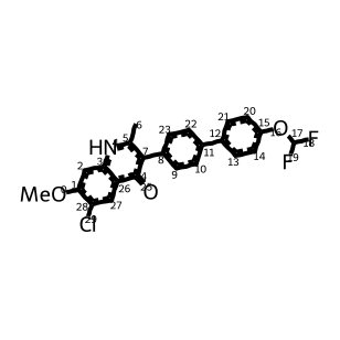 COc1cc2[nH]c(C)c(-c3ccc(-c4ccc(OC(F)F)cc4)cc3)c(=O)c2cc1Cl